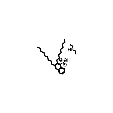 CCCCCCCCCc1cc2ccccc2c(S(=O)(=O)O)c1CCCCCCCCC.CCNCC